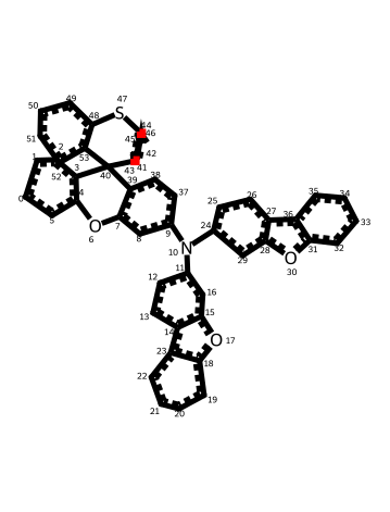 c1ccc2c(c1)Oc1cc(N(c3ccc4c(c3)oc3ccccc34)c3ccc4c(c3)oc3ccccc34)ccc1C21c2ccccc2Sc2ccccc21